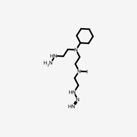 N=NNCCN(I)CCN(CCNN)C1CCCCC1